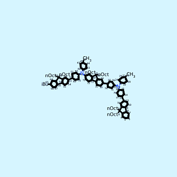 CCCCCCCCC1(CCCCCCCC)c2ccccc2-c2ccc(-c3ccc(N(c4ccc(C)cc4)c4ccc(-c5ccc6c(c5)C(CCCCCCCC)(CCCCCCCC)c5cc(N(c7ccc(C)cc7)c7ccc(-c8ccc9c(c8)C(CCCCCCCC)(CCCCCCCC)c8cc(C(C)CC)ccc8-9)cc7)ccc5-6)cc4)cc3)cc21